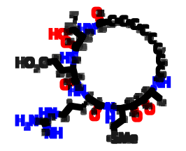 CSCCC1NC(=O)[C@H](CCCNC(=N)N)NC(=O)C(CCC(=O)O)NC(=O)[C@H]([C@@H](C)O)NC(=O)CCCCCCCCNC(C)C(=O)C1=O